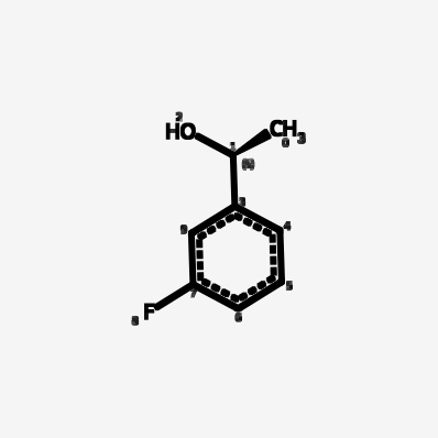 C[C@H](O)c1cccc(F)c1